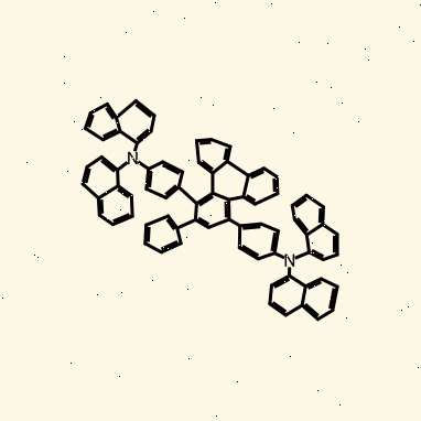 c1ccc(-c2cc(-c3ccc(N(c4cccc5ccccc45)c4cccc5ccccc45)cc3)c3c4ccccc4c4ccccc4c3c2-c2ccc(N(c3cccc4ccccc34)c3cccc4ccccc34)cc2)cc1